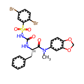 CN(C(=O)[C@H](Cc1ccccc1)NC(=O)NS(=O)(=O)c1cc(Br)ccc1Br)c1ccc2c(c1)OCO2